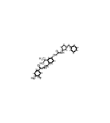 CC(O)c1cc(OCC(=O)NC2CCN(Cc3ccccc3)C2)ccc1/C=N/NC(=O)c1ccc(O)c(F)c1